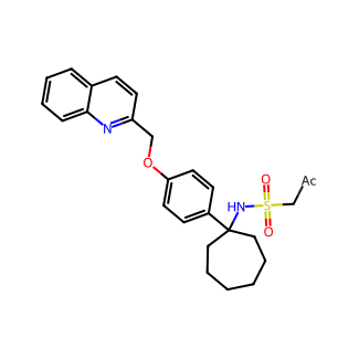 CC(=O)CS(=O)(=O)NC1(c2ccc(OCc3ccc4ccccc4n3)cc2)CCCCCC1